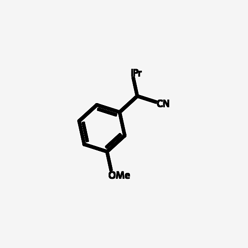 COc1cccc(C(C#N)C(C)C)c1